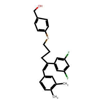 Cc1ccc(C=C(CCCSc2ccc(CO)cc2)c2cc(F)cc(F)c2)cc1C